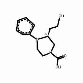 O=C(O)N1CCN(c2ccccc2)[C@@H](CCO)C1